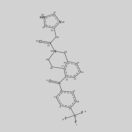 O=C(c1ccc(C(F)(F)F)cc1)c1cccc2c1CCN(C(=O)Cc1c[nH]cn1)C2